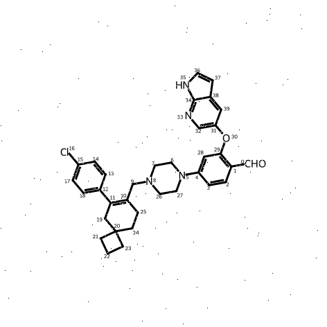 O=Cc1ccc(N2CCN(CC3=C(c4ccc(Cl)cc4)CC4(CCC4)CC3)CC2)cc1Oc1cnc2[nH]ccc2c1